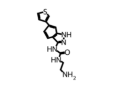 NCCNC(=O)Nc1n[nH]c2cc(-c3ccsc3)ccc12